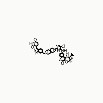 Cn1nc(C2CCC(=O)NC2=O)c2ccc(CN3CCC4(CC3)CCN(c3ncc(Cl)c(Nc5ccc6c(c5)c5c(c(=O)n6C)OCC(F)(F)C(C6CC6)N5)n3)CC4)cc21